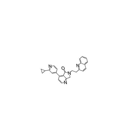 O=C1c2c(-c3ccnc(C4CC4)c3)ccnc2CN1CCc1ccc2ccccc2n1